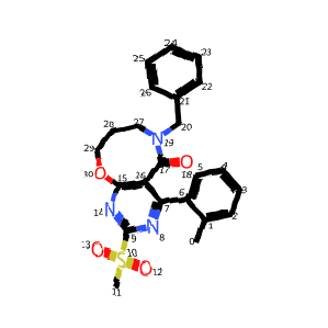 Cc1ccccc1-c1nc(S(C)(=O)=O)nc2c1C(=O)N(Cc1ccccc1)CCCO2